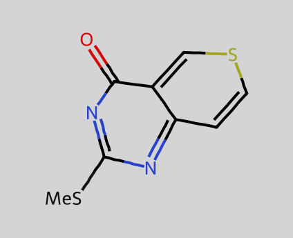 CSc1nc2ccscc-2c(=O)n1